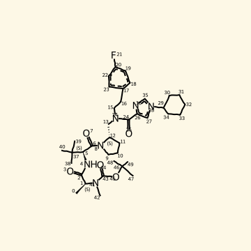 C[C@@H](C(=O)N[C@H](C(=O)N1CCC[C@H]1CN(CCc1ccc(F)cc1)C(=O)c1cn(C2CCCCC2)cn1)C(C)(C)C)N(C)C(=O)OC(C)(C)C